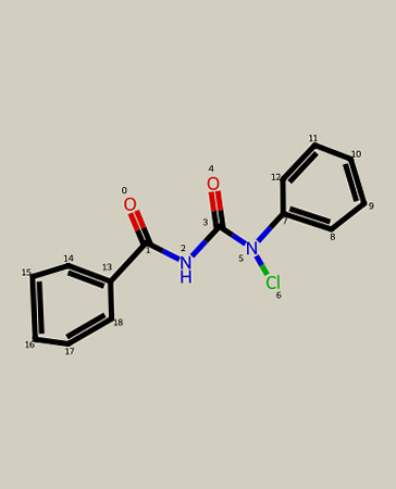 O=C(NC(=O)N(Cl)c1ccccc1)c1ccccc1